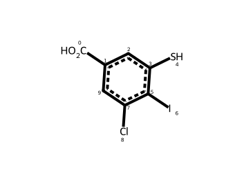 O=C(O)c1cc(S)c(I)c(Cl)c1